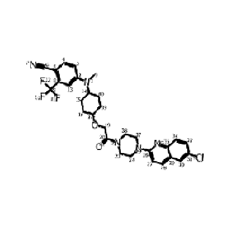 CN(c1ccc(C#N)c(C(F)(F)F)c1)C1CCC(OCC(=O)N2CCN(c3ccc4cc(Cl)ccc4n3)CC2)CC1